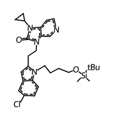 CC(C)(C)[Si](C)(C)OCCCCn1c(CCn2c(=O)n(C3CC3)c3ccncc32)cc2cc(Cl)ccc21